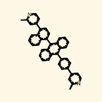 Cc1cc(-c2ccc(-c3c4ccccc4c(-c4ccc(-c5ccnc(C)c5)c5ccccc45)c4ccccc34)cc2)ccn1